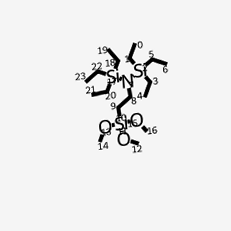 CC[Si](CC)(CC)N(CC[Si](OC)(OC)OC)[Si](CC)(CC)CC